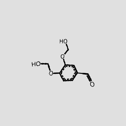 O=Cc1ccc(OCO)c(OCO)c1